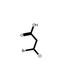 O=C(O)CC(Cl)Br